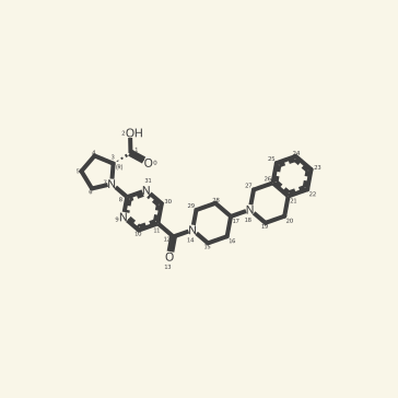 O=C(O)[C@H]1CCCN1c1ncc(C(=O)N2CCC(N3CCc4ccccc4C3)CC2)cn1